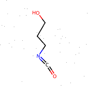 O=C=NCCCO